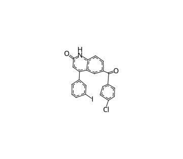 O=C(c1ccc(Cl)cc1)c1ccc2[nH]c(=O)cc(-c3cccc(I)c3)c2c1